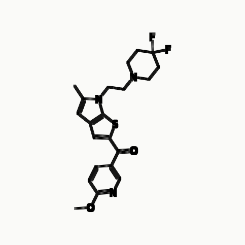 COc1ccc(C(=O)c2cc3cc(C)n(CCN4CCC(F)(F)CC4)c3s2)cn1